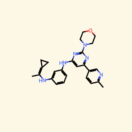 CC(Nc1cccc(Nc2cc(-c3ccc(C)nc3)nc(N3CCOCC3)n2)c1)=C1CC1